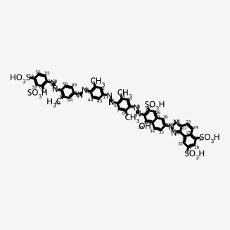 Cc1cc(N=Nc2cc(C)c(N=Nc3c(S(=O)(=O)O)cc4cc(-n5nc6ccc7c(S(=O)(=O)O)cc(S(=O)(=O)O)cc7c6n5)ccc4c3O)cc2C)ccc1N=Nc1ccc(N=Nc2ccc(S(=O)(=O)O)cc2S(=O)(=O)O)c(C)c1